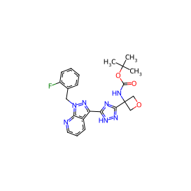 CC(C)(C)OC(=O)NC1(c2n[nH]c(-c3nn(Cc4ccccc4F)c4ncccc34)n2)COC1